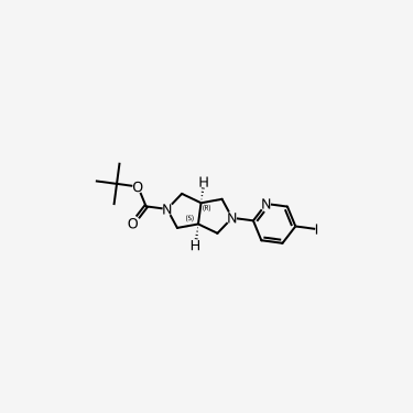 CC(C)(C)OC(=O)N1C[C@@H]2CN(c3ccc(I)cn3)C[C@@H]2C1